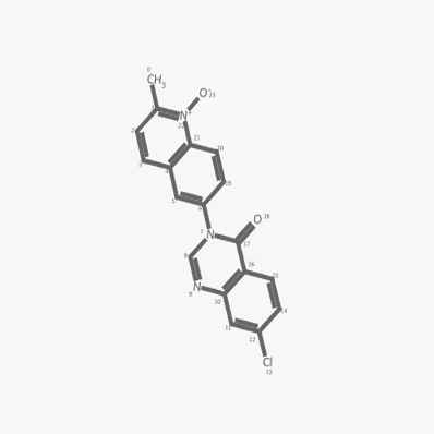 Cc1ccc2cc(-n3cnc4cc(Cl)ccc4c3=O)ccc2[n+]1[O-]